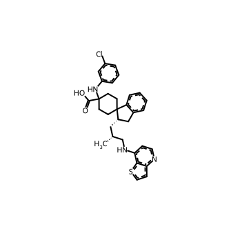 C[C@@H](CNc1ccnc2ccsc12)C[C@H]1Cc2ccccc2C12CCC(Nc1cccc(Cl)c1)(C(=O)O)CC2